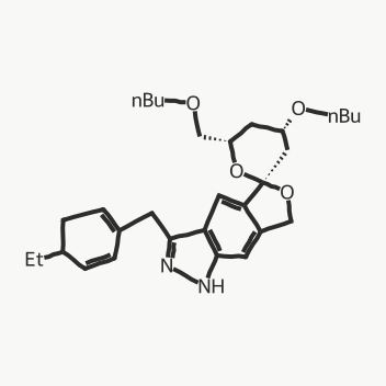 CCCCOC[C@@H]1C[C@H](OCCCC)C[C@@]2(OCc3cc4[nH]nc(CC5=CCC(CC)C=C5)c4cc32)O1